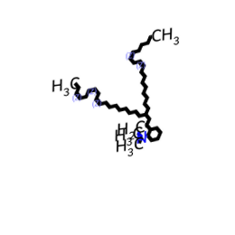 C=C(CC(CCCCCCCC/C=C\C/C=C\C/C=C\CC)CCCCCCCC/C=C\C/C=C\CCCCC)C1CCCCC1N(C)C